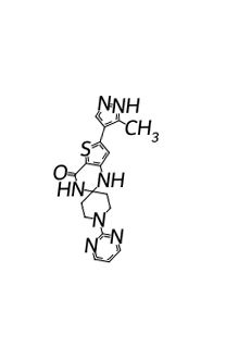 Cc1[nH]ncc1-c1cc2c(s1)C(=O)NC1(CCN(c3ncccn3)CC1)N2